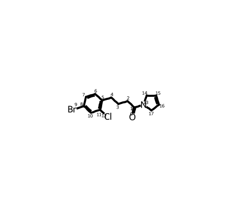 O=C(CCCc1ccc(Br)cc1Cl)N1CC=CC1